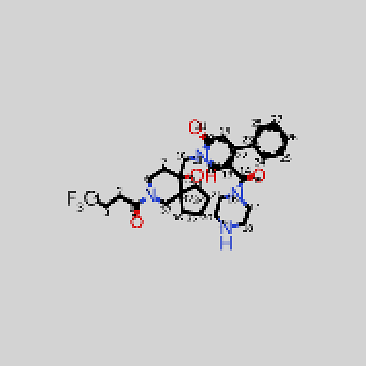 O=C(CCC(F)(F)F)N1CCC(O)(Cn2cc(C(=O)N3CCNCC3)c(-c3ccccc3)cc2=O)C2(CCCC2)C1